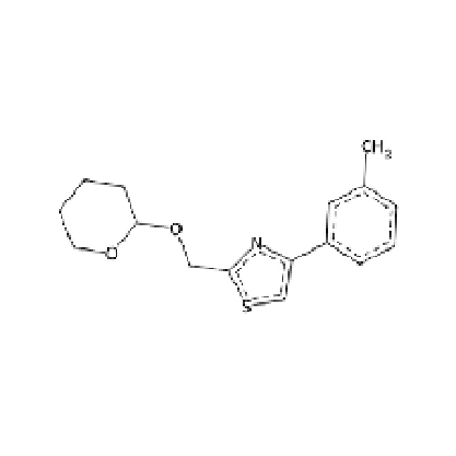 Cc1cccc(-c2csc(COC3CCCCO3)n2)c1